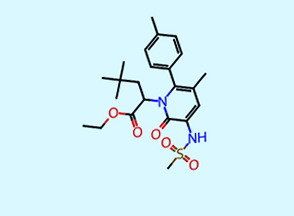 CCOC(=O)C(CC(C)(C)C)n1c(-c2ccc(C)cc2)c(C)cc(NS(C)(=O)=O)c1=O